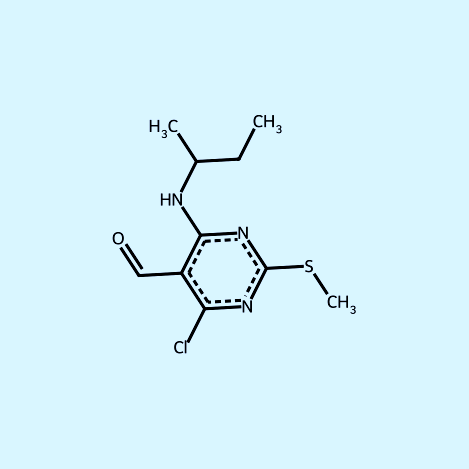 CCC(C)Nc1nc(SC)nc(Cl)c1C=O